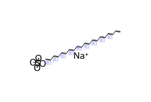 C=C/C=C/C=C/C=C/C=C/C=C/C=C/C=C/C=C/C=C/OS(=O)(=O)[O-].[Na+]